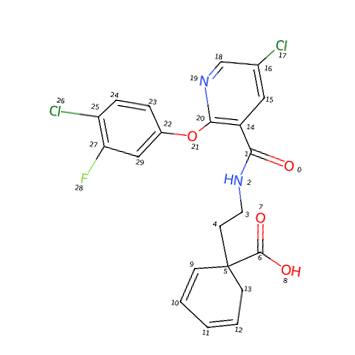 O=C(NCCC1(C(=O)O)C=CC=CC1)c1cc(Cl)cnc1Oc1ccc(Cl)c(F)c1